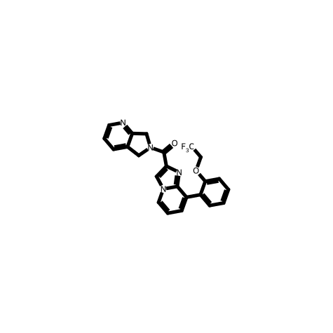 O=C(c1cn2cccc(-c3ccccc3OCC(F)(F)F)c2n1)N1Cc2cccnc2C1